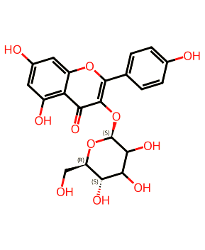 O=c1c(O[C@@H]2O[C@H](CO)[C@@H](O)C(O)C2O)c(-c2ccc(O)cc2)oc2cc(O)cc(O)c12